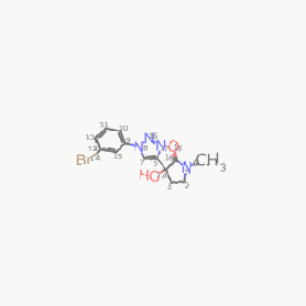 CN1CCC(O)(c2cn(-c3cccc(Br)c3)nn2)C1=O